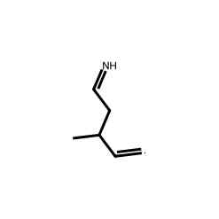 [CH]=CC(C)CC=N